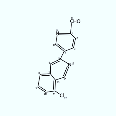 O=Cc1ccc(-c2cc3cccc(Cl)c3cn2)cn1